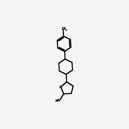 CCCC1CCC(C2CCC(c3ccc(C(F)(F)F)cc3)CC2)O1